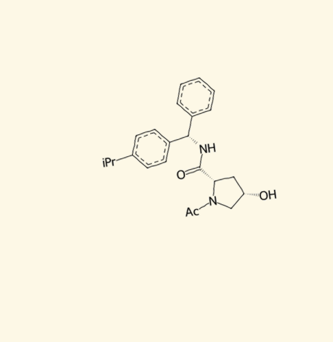 CC(=O)N1C[C@@H](O)C[C@H]1C(=O)N[C@@H](c1ccccc1)c1ccc(C(C)C)cc1